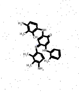 Cc1ccccc1NC1=CC(=O)C(Nc2ccc(N)c(C)c2C)=C/C1=N/c1ccc(N)c(C)c1C